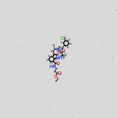 CCOC(=O)CCNC(=O)c1cccc2c(C[C@@H](C)NC[C@@H](OC(=O)C(F)(F)F)c3cccc(Cl)c3)c[nH]c12